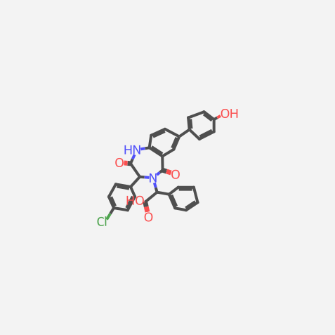 O=C(O)C(c1ccccc1)N1C(=O)c2cc(-c3ccc(O)cc3)ccc2NC(=O)C1c1ccc(Cl)cc1